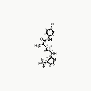 CC(C(=O)Nc1ccc(F)cc1)C12CC(Nc3cc(C(F)(F)F)ccn3)(C1)C2